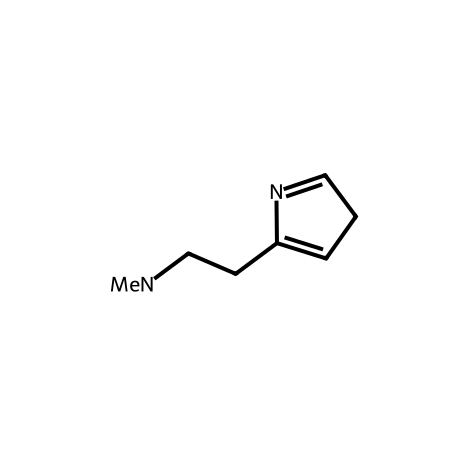 CNCCC1=CCC=N1